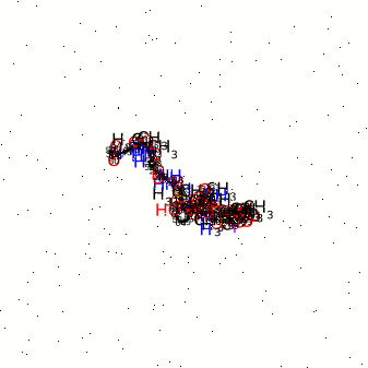 COC(=O)NC1=C2/C(=C\CSSC(C)(C)CCC(=O)NCCNC(=O)OCc3ccc(NC(=O)[C@H](C)NC(=O)[C@@H](NC(=O)CCCCCN4C(=O)C=CC4=O)C(C)C)cc3)[C@](O)(C#C/C=C\C#C[C@@H]2OC2OC(C)C(NOC3CC(O)C(SC(=O)c4c(C)c(I)c(OC5OC6OC6C(OC)C5O)c(OC)c4OC)C(C)O3)C(O)C2OC2CC(OC)C(NC(C)=O)CO2)CC1=O